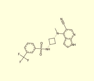 CN(c1c(C#N)cnc2[nH]ccc12)[C@H]1C[C@@H](NS(=O)(=O)c2cccc(C(F)(F)F)c2)C1